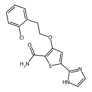 NC(=O)c1sc(-c2ncc[nH]2)cc1OCCc1ccccc1Cl